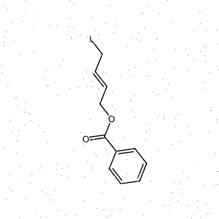 O=C(OCC=CCI)c1ccccc1